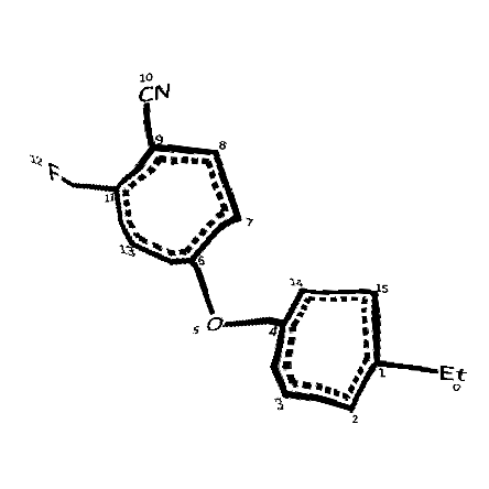 [CH2]Cc1ccc(Oc2ccc(C#N)c(F)c2)cc1